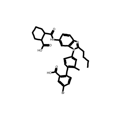 CCCCc1nc2ccc(NC(=O)C3CCCCC3C(=O)O)cc2n1-c1ccc(-c2ccc(Br)cc2C(=O)O)c(C)c1